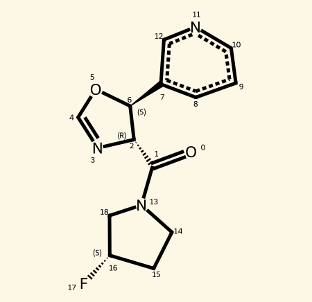 O=C([C@@H]1N=CO[C@H]1c1cccnc1)N1CC[C@H](F)C1